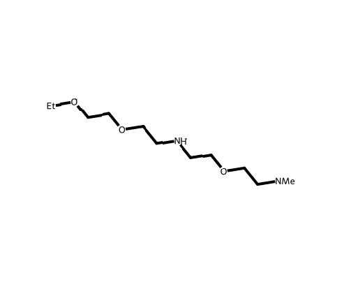 CCOCCOCCNCCOCCNC